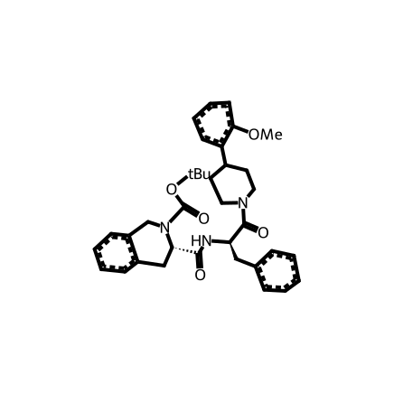 COc1ccccc1C1CCN(C(=O)[C@@H](Cc2ccccc2)NC(=O)[C@@H]2Cc3ccccc3CN2C(=O)OC(C)(C)C)CC1